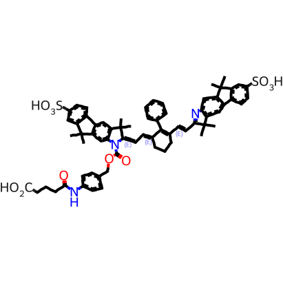 CC1(C)C(/C=C/C2=C(c3ccccc3)C(=C/C=C3/N(C(=O)OCc4ccc(NC(=O)CCCC(=O)O)cc4)c4cc5c(cc4C3(C)C)-c3ccc(S(=O)(=O)O)cc3C5(C)C)/CCC2)=Nc2cc3c(cc21)-c1ccc(S(=O)(=O)O)cc1C3(C)C